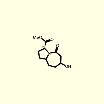 COC(=O)[C@@H]1CCC2CCC(O)CC(=O)N21